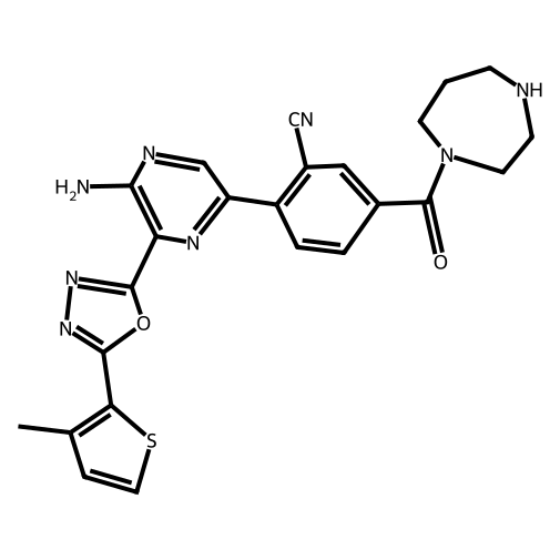 Cc1ccsc1-c1nnc(-c2nc(-c3ccc(C(=O)N4CCCNCC4)cc3C#N)cnc2N)o1